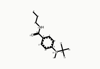 CCCNC(=O)c1ccc(N(C)C(C)(C)C)cc1